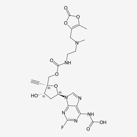 C#C[C@]1(COC(=O)NCCN(C)Cc2oc(=O)oc2C)O[C@@H](n2cnc3c(NC(=O)O)nc(F)nc32)C[C@@H]1O